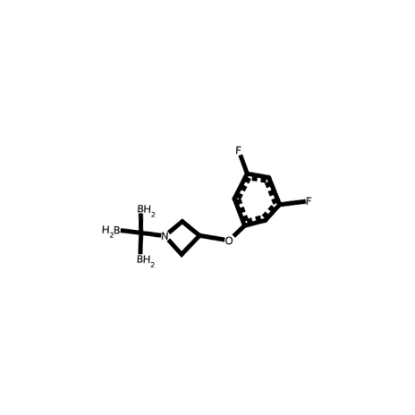 BC(B)(B)N1CC(Oc2cc(F)cc(F)c2)C1